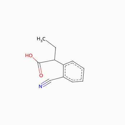 CCC(C(=O)O)c1ccccc1C#N